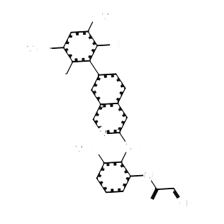 C=CC(=O)Nc1cccc(OC)c1Nc1cc2ccc(-c3c(Cl)c(OC)cc(OC)c3Cl)cc2cn1